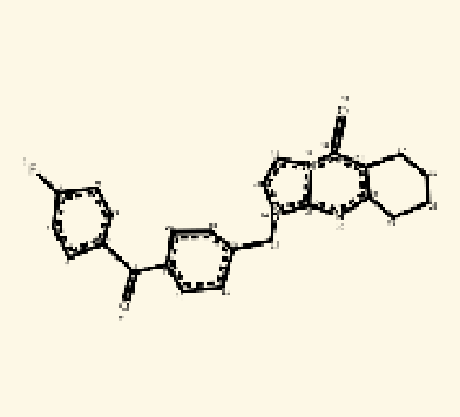 O=C(c1ccc(F)cc1)c1ccc(Cn2ccn3c(=O)c4c(nc23)CCCC4)cc1